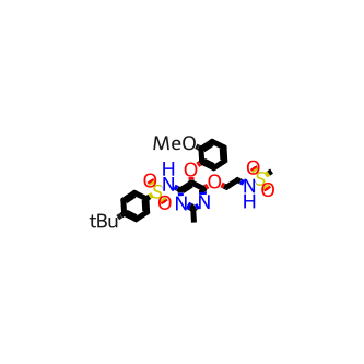 COc1ccccc1Oc1c(NS(=O)(=O)c2ccc(C(C)(C)C)cc2)nc(C)nc1OCCNS(C)(=O)=O